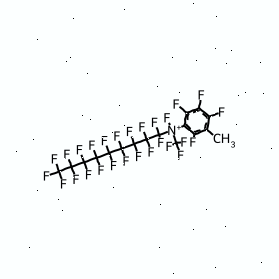 Cc1c(F)c(F)c(F)c([N+](F)(C(F)(F)F)C(F)(F)C(F)(F)C(F)(F)C(F)(F)C(F)(F)C(F)(F)C(F)(F)C(F)(F)C(F)(F)F)c1F